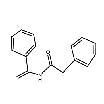 C=C(NC(=O)Cc1ccccc1)c1ccccc1